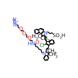 CC1(C)C(/C=C/C2=C(Cl)C(=C/C=C3/N(CCCS(=O)(=O)O)c4ccc5ccccc5c4C3(C)C)/c3ccccc32)=[N+](CCCCCC(=O)NCCOCCOCCOCCN=[N+]=[N-])c2ccccc21